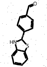 O=Cc1ccc(C2Nc3ccccc3S2)cc1